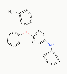 Cc1cccc(B(c2ccccc2)c2ccc(Nc3ccccc3)cc2)c1